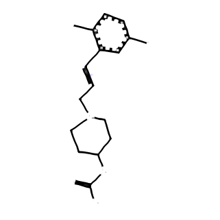 O=C(O)NC1CCN(C/C=C/c2cc(F)ccc2F)CC1